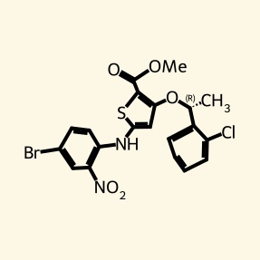 COC(=O)c1sc(Nc2ccc(Br)cc2[N+](=O)[O-])cc1O[C@H](C)c1ccccc1Cl